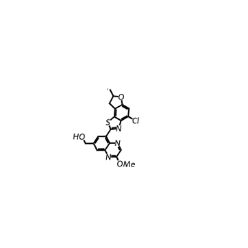 [CH2]C1Cc2c(cc(Cl)c3nc(-c4cc(CO)cc5nc(OC)cnc45)sc23)O1